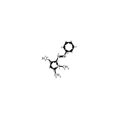 Cc1cc(C)n(C)c1N=Nc1ccccc1